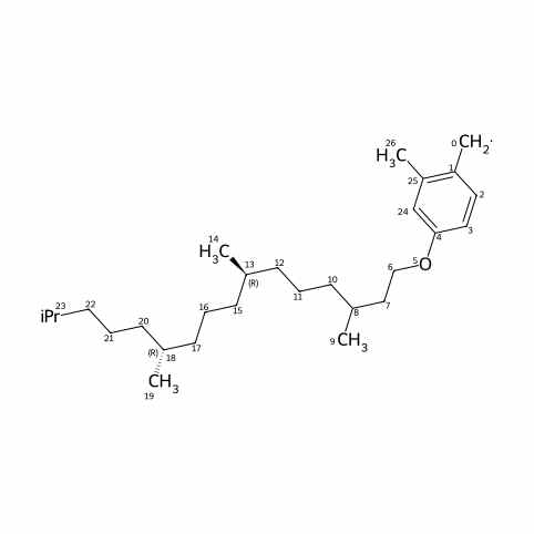 [CH2]c1ccc(OCCC(C)CCC[C@H](C)CCC[C@H](C)CCCC(C)C)cc1C